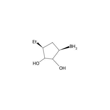 B[C@@H]1C[C@H](CC)C(O)C1O